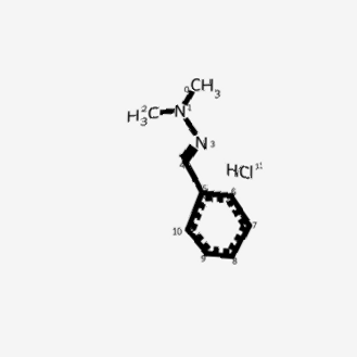 CN(C)N=Cc1ccccc1.Cl